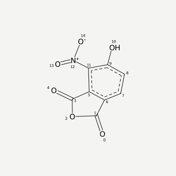 O=C1OC(=O)c2c1ccc(O)c2[N+](=O)[O-]